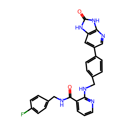 O=C(NCc1ccc(F)cc1)c1cccnc1NCc1ccc(-c2cnc3[nH]c(=O)[nH]c3c2)cc1